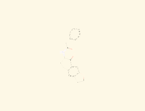 O=C(Cc1ccccc1)NC1CCc2cc3c(cc2C1=O)OCC3